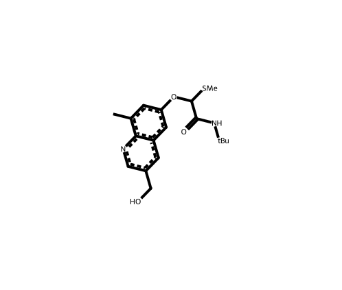 CSC(Oc1cc(C)c2ncc(CO)cc2c1)C(=O)NC(C)(C)C